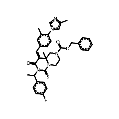 Cc1cn(-c2ccc(/C=C3/C(=O)N(C(C)c4ccc(F)cc4)C(=S)N4CCN(C(=O)OCc5ccccc5)CC34C)cc2C)cn1